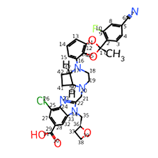 C[C@]1(c2ccc(C#N)cc2F)Oc2cccc(N3CCN(Cc4nc5c(Cl)cc(C(=O)O)cc5n4C[C@@H]4CCO4)[C@H]4CC[C@@H]43)c2O1